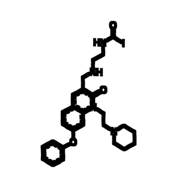 O=C(I)NCCNCc1cc2ccc(Oc3ccccc3)cc2n(CCN2CCCCC2)c1=O